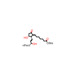 CCCCC[C@H](O)/C=C/[C@@H]1/C(=C\CCCCCC(=O)OC)C(=O)C[C@H]1O